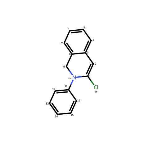 ClC1=Cc2ccccc2CN1c1ccccc1